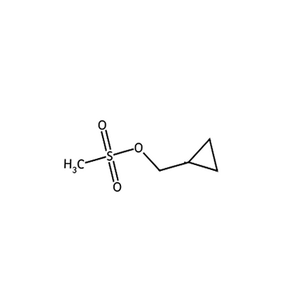 CS(=O)(=O)OC[C]1CC1